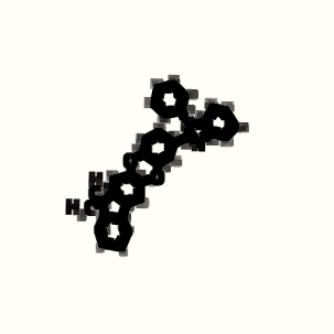 CC1(C)c2ccccc2-c2cc3c(cc21)Oc1ccc(-c2nc4ccccc4n2-c2ccccc2)cc1O3